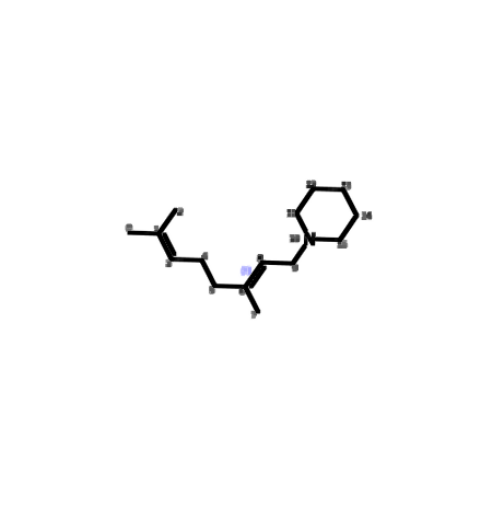 CC(C)=CCC/C(C)=C/CN1CCCCC1